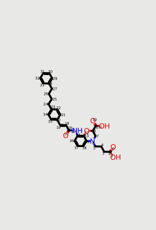 O=C(O)CCCN1CC(C(=O)O)Oc2c(NC(=O)C=Cc3ccc(CCCCc4ccccc4)cc3)cccc21